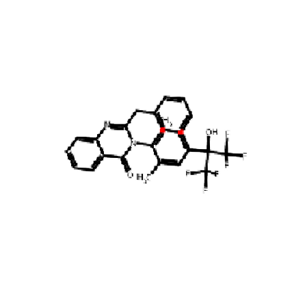 Cc1cc(C(O)(C(F)(F)F)C(F)(F)F)cc(C)c1-n1c(Cc2ccccc2)nc2ccccc2c1=O